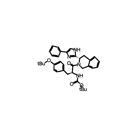 CC(C)(C)OC(=O)N[C@@H](Cc1ccc(OC(C)(C)C)cc1)C(=O)N1Cc2ccccc2C[C@H]1c1nc(-c2ccccc2)c[nH]1